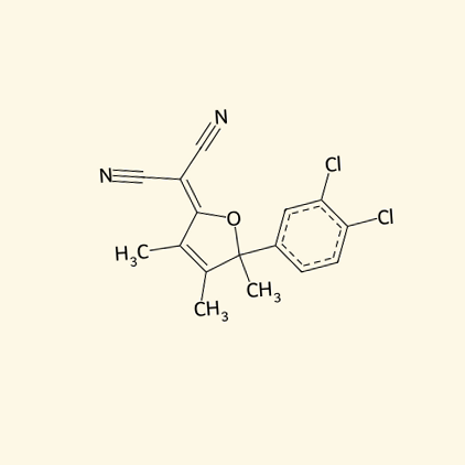 CC1=C(C)C(C)(c2ccc(Cl)c(Cl)c2)OC1=C(C#N)C#N